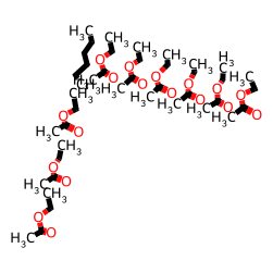 CCCCCC.CCOC(C)=O.CCOC(C)=O.CCOC(C)=O.CCOC(C)=O.CCOC(C)=O.CCOC(C)=O.CCOC(C)=O.CCOC(C)=O.CCOC(C)=O